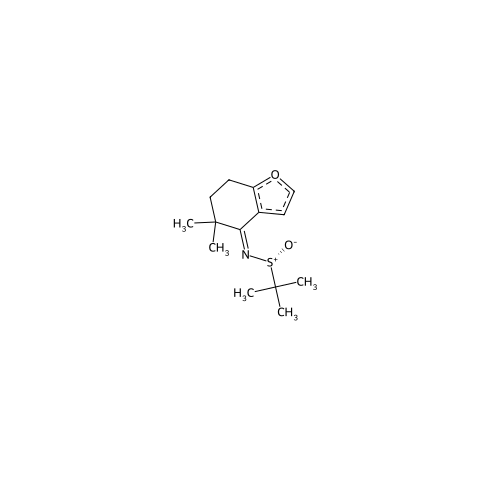 CC1(C)CCc2occc2/C1=N\[S@+]([O-])C(C)(C)C